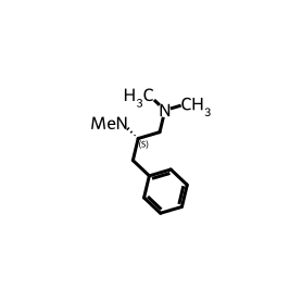 CN[C@@H](Cc1ccccc1)CN(C)C